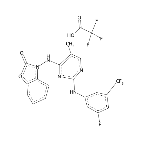 Cc1cnc(Nc2cc(F)cc(C(F)(F)F)c2)nc1Nn1c(=O)oc2ccccc21.O=C(O)C(F)(F)F